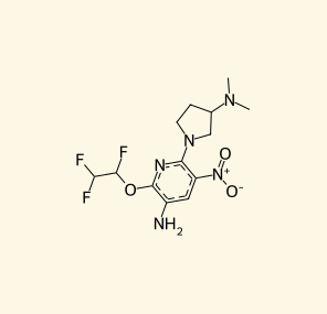 CN(C)C1CCN(c2nc(OC(F)C(F)F)c(N)cc2[N+](=O)[O-])C1